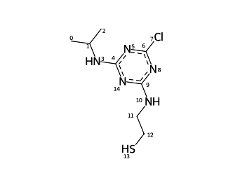 CC(C)Nc1nc(Cl)nc(NCCS)n1